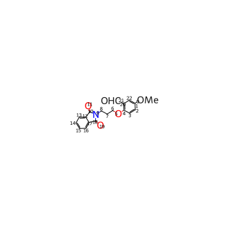 COc1ccc(OCCCN2C(=O)c3ccccc3C2=O)c(C=O)c1